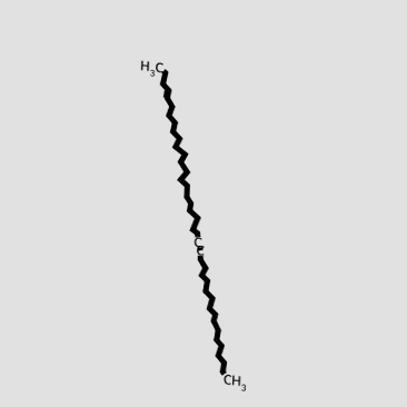 CCC/C=C/CCCCCCCCCCCCCCCCCCCCCCCCCCCCCCCCCCC